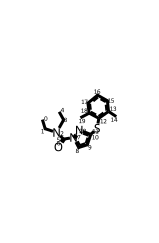 CCN(CC)C(=O)n1ccc(Sc2c(C)cccc2C)n1